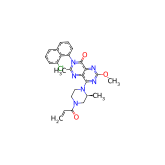 C=CC(=O)N1CCN(c2nc(OC)nc3c(=O)n(-c4cccc5cccc(Cl)c45)c(C)nc23)[C@@H](C)C1